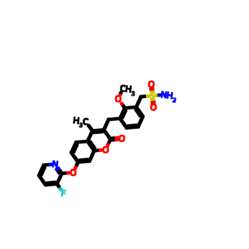 COc1c(Cc2c(C)c3ccc(Oc4ncccc4F)cc3oc2=O)cccc1CS(N)(=O)=O